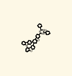 c1ccc(C2=NC(c3ccc4c(c3)oc3cc(-c5ccc6oc7cccc(-n8c9ccccc9c9ccccc98)c7c6c5)ccc34)NC(c3ccccc3)N2)cc1